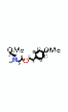 COCCN(C)CCOCCc1ccc(OC)cc1